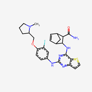 CN1CCCC1COc1ccc(Nc2nc(NC3C4C=CC(C4)C3C(N)=O)c3sccc3n2)cc1F